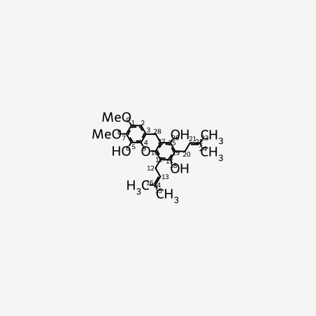 COc1cc2c(c(O)c1OC)Oc1c(CC=C(C)C)c(O)c(CC=C(C)C)c(O)c1C2